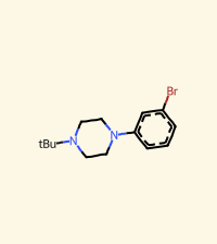 CC(C)(C)N1CCN(c2cccc(Br)c2)CC1